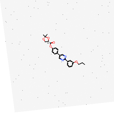 CCCOc1cccc(-c2ncc(-c3ccc(OC(=O)[C@@H]4COC(C)(C)O4)cc3)cn2)c1